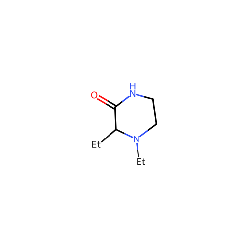 CCC1C(=O)NCCN1CC